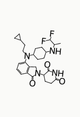 CC(NC1CCC(N(CCC2CC2)c2cccc3c2CN(C2CCC(=O)NC2=O)C3=O)CC1)C(F)F